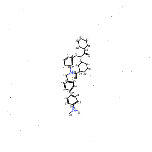 C=C(CCc1cccc(N(Cc2ccc(-c3ccc(N(C)C)cc3)cc2)C(=C)C2CCCCC2)c1)C1CCCCC1